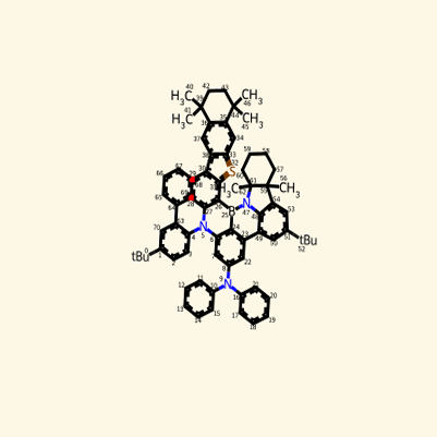 CC(C)(C)c1ccc(N2c3cc(N(c4ccccc4)c4ccccc4)cc4c3B(c3c2ccc2c3sc3cc5c(cc32)C(C)(C)CCC5(C)C)N2c3c-4cc(C(C)(C)C)cc3C3(C)CCCCC23C)c(-c2ccccc2)c1